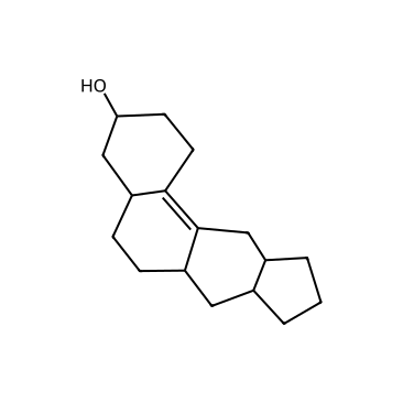 OC1CCC2=C3CC4CCCC4CC3CCC2C1